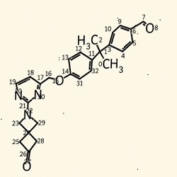 CC(C)(c1ccc(C=O)cc1)c1ccc(OCc2ccnc(N3CC4(CC(=O)C4)C3)n2)cc1